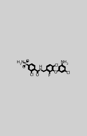 Nc1cc(Cl)cc(Oc2c(Cl)ccc(CNC(=O)c3ccc(S(N)(=O)=O)cc3Cl)c2F)c1